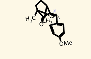 COc1ccc(/C=C2\C(=O)C3(C)CCC2C3(C)C)cc1